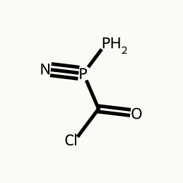 N#P(P)C(=O)Cl